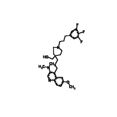 COc1ccc2ncc(N(C)C)c(CCCC3(CO)CCN(CCCc4cc(F)c(F)c(F)c4)CC3)c2c1